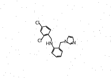 Clc1ccc(CNc2ccccc2Cn2ccnc2)c(Cl)c1